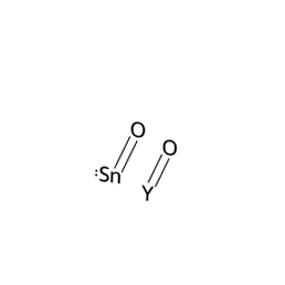 [O]=[Sn].[O]=[Y]